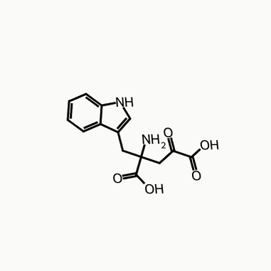 NC(CC(=O)C(=O)O)(Cc1c[nH]c2ccccc12)C(=O)O